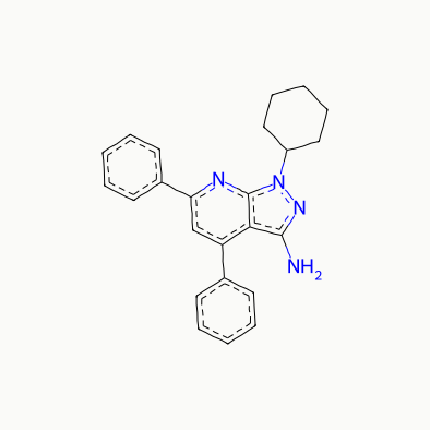 Nc1nn(C2CCCCC2)c2nc(-c3ccccc3)cc(-c3ccccc3)c12